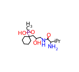 CC(C)C(N)C(=O)NCC(O)CC1(P(C)(=O)O)CCCCC1